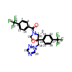 C[C@H]1N(C(=O)c2ccc(C(F)(F)F)cc2)CO[C@@]1(Cn1cncn1)c1ccc(C(F)(F)F)cc1